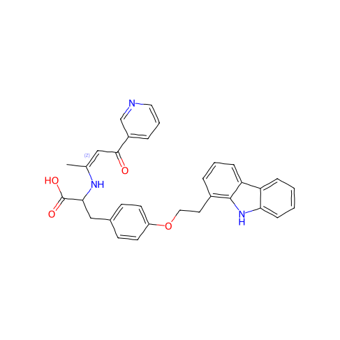 C/C(=C/C(=O)c1cccnc1)NC(Cc1ccc(OCCc2cccc3c2[nH]c2ccccc23)cc1)C(=O)O